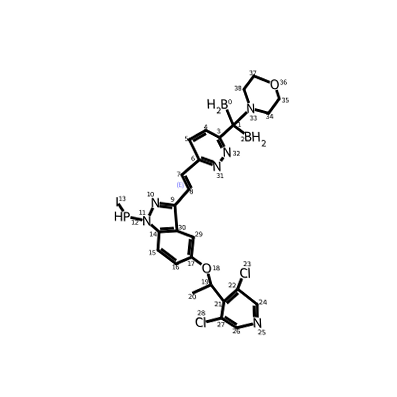 BC(B)(c1ccc(/C=C/c2nn(PI)c3ccc(OC(C)c4c(Cl)cncc4Cl)cc23)nn1)N1CCOCC1